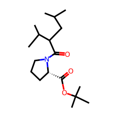 CC(C)CC(C(=O)N1CCC[C@H]1C(=O)OC(C)(C)C)C(C)C